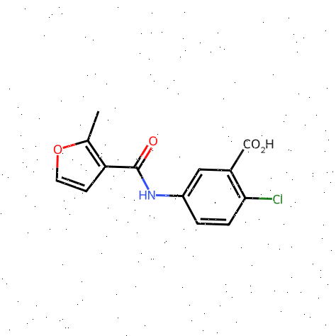 Cc1occc1C(=O)Nc1ccc(Cl)c(C(=O)O)c1